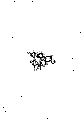 Cc1ccnc(C(=O)N[C@@H](C(=O)N2CCC3(CC2)CC(=O)N(C)CC3c2ccccc2)C(C)C)c1